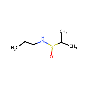 CCCN[S+]([O-])C(C)C